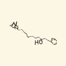 OC(CCCCCCCCn1ccnc1)CCc1ccccc1